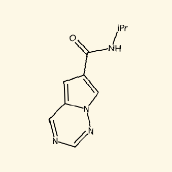 CC(C)NC(=O)c1cc2cncnn2c1